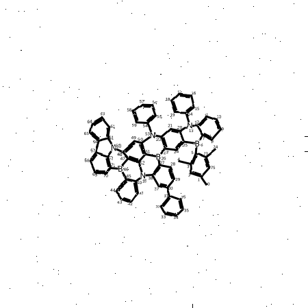 Cc1cc(C)c(B2c3ccccc3N(c3ccccc3)c3cc4c(cc32)B2c3ccc(-c5ccccc5)cc3N3c5ccccc5B5c6c(cc(c2c63)N4c2ccccc2)-n2c3ccccc3c3cccc5c32)c(C)c1